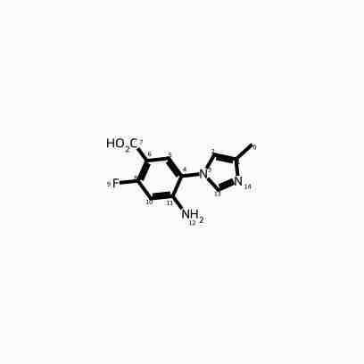 Cc1cn(-c2cc(C(=O)O)c(F)cc2N)cn1